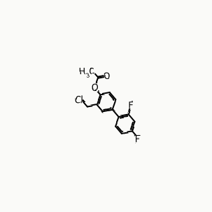 CC(=O)Oc1ccc(-c2ccc(F)cc2F)cc1CCl